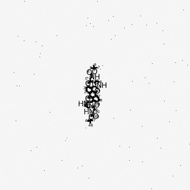 C[C@H](NC(=O)OC(C)(C)C)C(=O)N1CCNCC1c1cccc2c1C(=O)c1cccc(C3CNCCN3C(=O)[C@H](C)NC(=O)OC(C)(C)C)c1C2=O